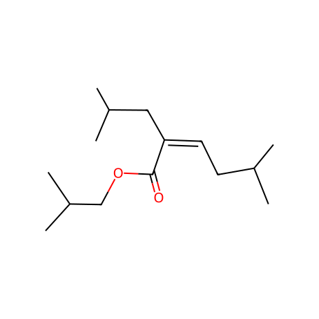 CC(C)CC=C(CC(C)C)C(=O)OCC(C)C